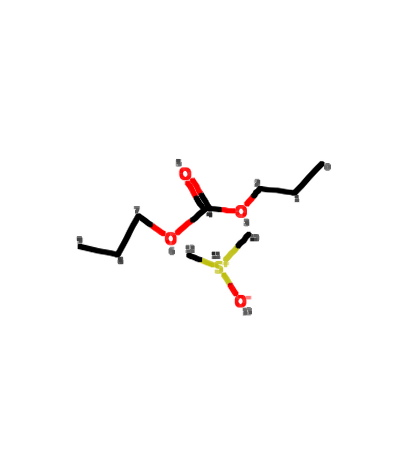 CCCOC(=O)OCCC.C[S+](C)[O-]